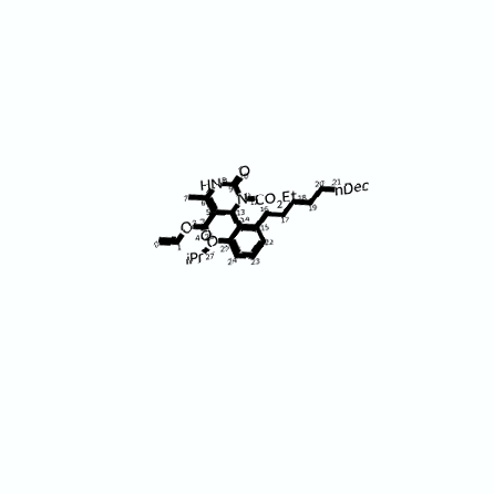 C=COC(=O)C1=C(C)NC(=O)N(C(=O)OCC)C1c1c(CCCCCCCCCCCCCCC)cccc1OC(C)C